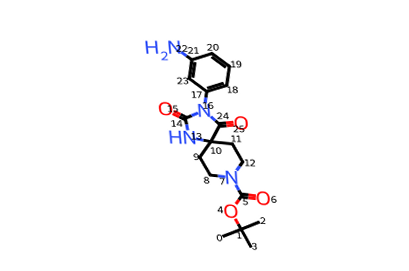 CC(C)(C)OC(=O)N1CCC2(CC1)NC(=O)N(c1cccc(N)c1)C2=O